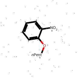 CCCCCOc1ccccc1[N+](=O)[O-]